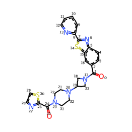 O=C(c1ccc2nc(-c3ccccn3)sc2c1)N1CC(N2CCN(C(=O)c3nccs3)CC2)C1